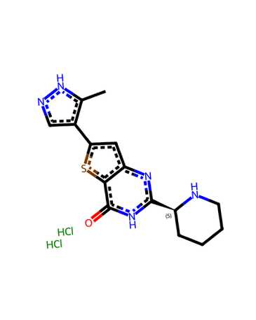 Cc1[nH]ncc1-c1cc2nc([C@@H]3CCCCN3)[nH]c(=O)c2s1.Cl.Cl